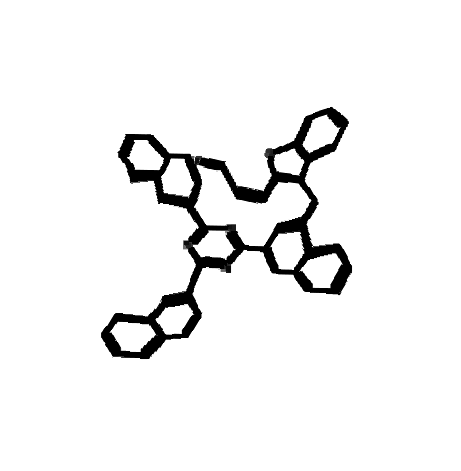 C=C/C=C\c1oc2ccccc2c1Cc1cc(-c2nc(-c3ccc4ccccc4c3)nc(-c3ccc4ccccc4c3)n2)cc2ccccc12